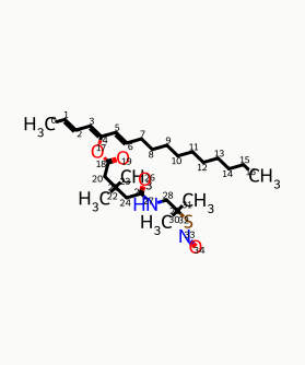 CC=CC=C(C=CCCCCCCCCCC)OC(=O)CC(C)(C)CC(=O)NCC(C)(C)SN=O